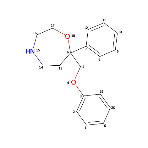 c1ccc(OCC2(c3ccccc3)CCNCCO2)cc1